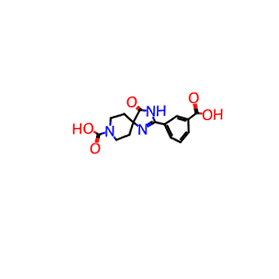 O=C(O)c1cccc(C2=NC3(CCN(C(=O)O)CC3)C(=O)N2)c1